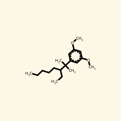 CCCCCC(CC)C(C)(C)c1cc(OC)cc(OC)c1